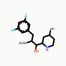 CCCC1CCNC(C(O)C(Cc2cc(F)cc(F)c2)NC(C)=O)C1